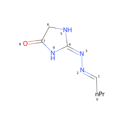 CCCC=NN=C1NCC(=O)N1